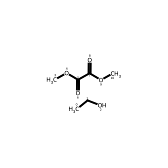 CCO.COC(=O)C(=O)OC